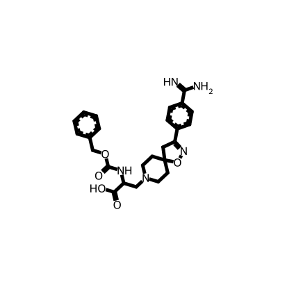 N=C(N)c1ccc(C2=NOC3(CCN(CC(NC(=O)OCc4ccccc4)C(=O)O)CC3)C2)cc1